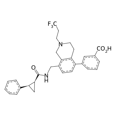 O=C(O)c1cccc(-c2ccc(CNC(=O)[C@H]3C[C@H]3c3ccccc3)c3c2CCN(CCC(F)(F)F)C3)c1